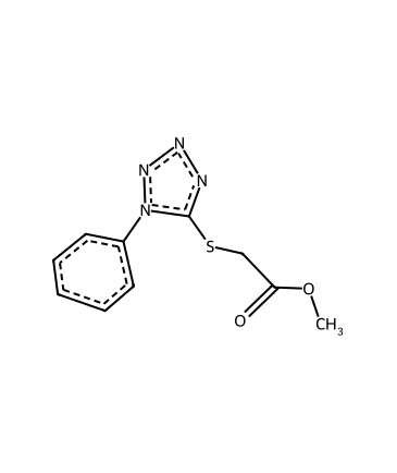 COC(=O)CSc1nnnn1-c1ccccc1